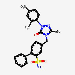 CCCCc1nn(-c2ccc([N+](=O)[O-])cc2C(F)(F)F)c(=O)n1Cc1ccc(-c2ccccc2)c(S(N)(=O)=O)c1